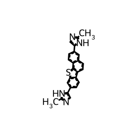 Cc1ncc(-c2ccc3c(ccc4c5ccc(-c6cnc(C)[nH]6)cc5sc34)c2)[nH]1